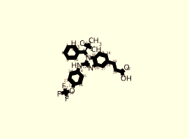 CC(C)(C)[C@H](c1ccccc1)n1c(Nc2ccc(OC(F)(F)F)cc2)nc2cc(CCC(=O)O)ccc21